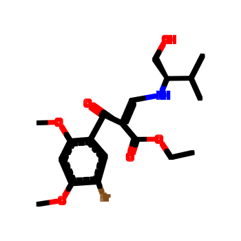 CCOC(=O)C(=CN[C@@H](CO)C(C)C)C(=O)c1cc(Br)c(OC)cc1OC